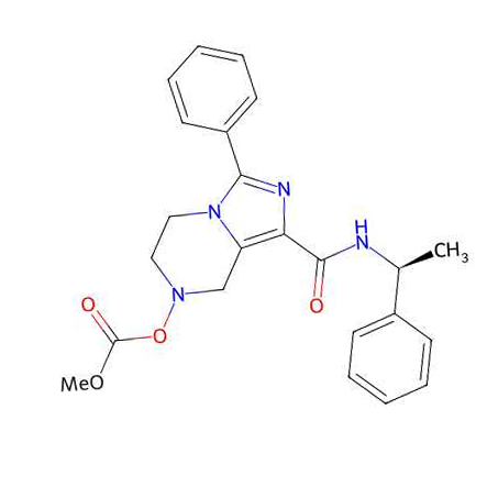 COC(=O)ON1CCn2c(-c3ccccc3)nc(C(=O)N[C@@H](C)c3ccccc3)c2C1